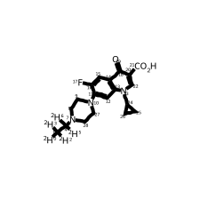 [2H]C([2H])([2H])C([2H])([2H])N1CCN(c2cc3c(cc2F)c(=O)c(C(=O)O)cn3C2CC2)CC1